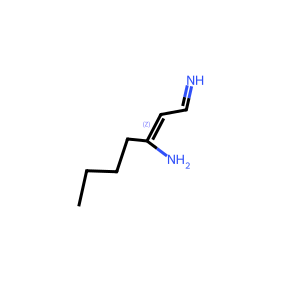 CCCC/C(N)=C/C=N